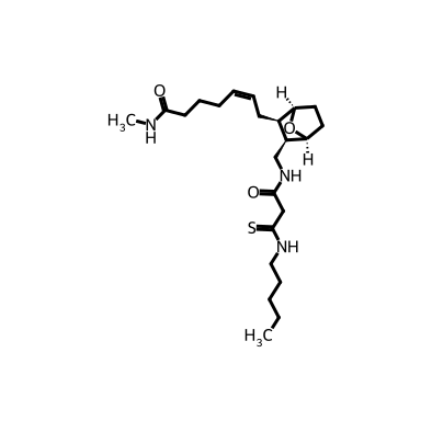 CCCCCNC(=S)CC(=O)NC[C@H]1[C@@H](C/C=C\CCCC(=O)NC)[C@H]2CC[C@@H]1O2